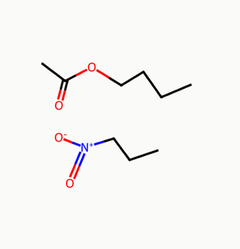 CCCCOC(C)=O.CCC[N+](=O)[O-]